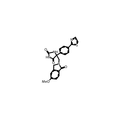 COc1ccc2c(c1)CN(CC1(c3ccc(-c4nccs4)cc3)NC(=O)NC1=O)C2=O